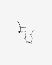 O=C1CC(C2=CC=CCC2=S)N1